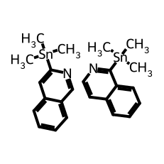 [CH3][Sn]([CH3])([CH3])[c]1cc2ccccc2cn1.[CH3][Sn]([CH3])([CH3])[c]1nccc2ccccc12